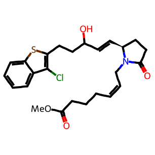 COC(=O)CCC/C=C\CN1C(=O)CC[C@@H]1/C=C/C(O)CCc1sc2ccccc2c1Cl